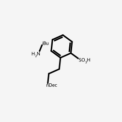 CCC(C)N.CCCCCCCCCCCCc1ccccc1S(=O)(=O)O